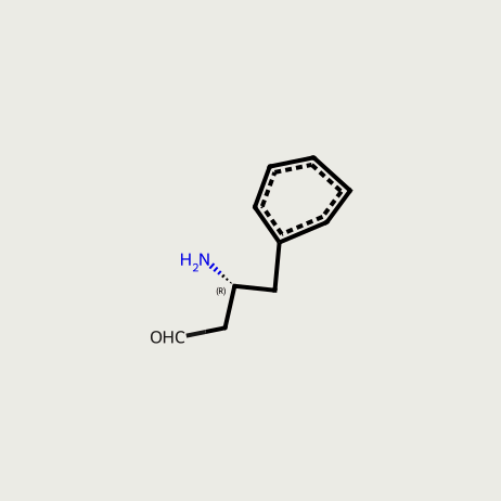 N[C@@H](CC=O)Cc1ccccc1